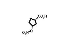 O=C(O)[C@@H]1CC[C@@H](O[N+](=O)[O-])C1